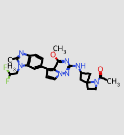 COc1nc(NC2CC3(CCN3C(C)=O)C2)nn2ccc(-c3ccc4nc(C)n(CC(F)F)c4c3)c12